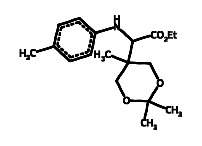 CCOC(=O)C(Nc1ccc(C)cc1)C1(C)COC(C)(C)OC1